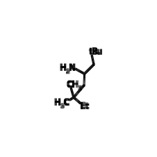 [CH2]C(C)(C)CC(N)CC(C)(C)CC